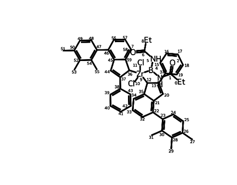 CCC(=O)N[B](NC(=O)CC)[Zr]([Cl])([Cl])([CH]1C(c2ccccc2)=Cc2c(-c3ccc(C)c(C)c3C)cccc21)[CH]1C(c2ccccc2)=Cc2c(-c3ccc(C)c(C)c3C)cccc21